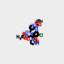 CC(C)(C)OC(=O)Nc1cc(Cn2c(C(=O)NS(C)(=O)=O)c(N3CCCNS3(=O)=O)c3cc(Cl)ccc32)ccn1